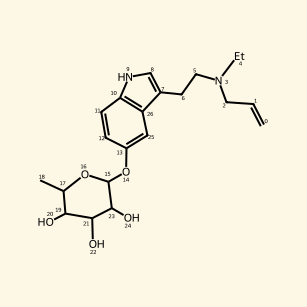 C=CCN(CC)CCc1c[nH]c2ccc(OC3OC(C)C(O)C(O)C3O)cc12